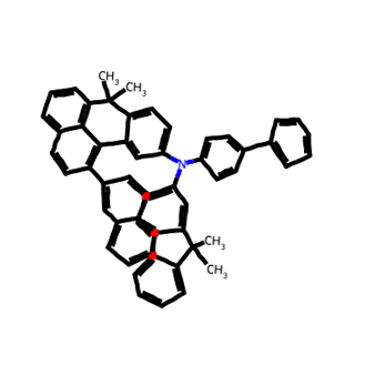 CC1(C)c2ccccc2-c2ccc(N(c3ccc(-c4ccccc4)cc3)c3ccc4c(c3)-c3c(-c5ccc6ccccc6c5)ccc5cccc(c35)C4(C)C)cc21